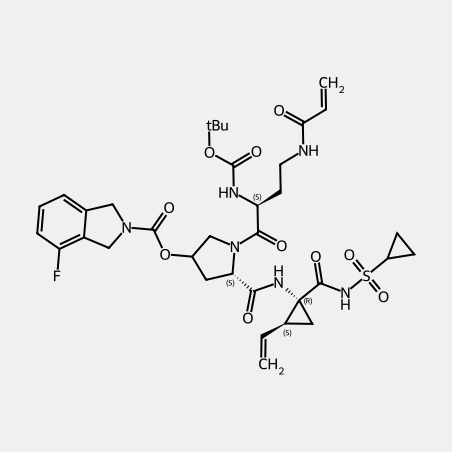 C=CC(=O)NCC[C@H](NC(=O)OC(C)(C)C)C(=O)N1CC(OC(=O)N2Cc3cccc(F)c3C2)C[C@H]1C(=O)N[C@]1(C(=O)NS(=O)(=O)C2CC2)C[C@H]1C=C